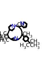 CC(C)(C)c1ccc(C2(C)CCC(C)(c3ccccn3)C[n+]3ccc(cc3)C(C)(C)C(C)(C)c3ccc(nc3)C2)cc1